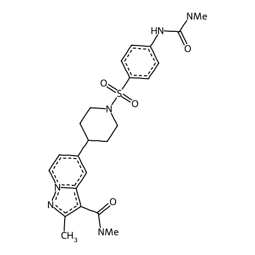 CNC(=O)Nc1ccc(S(=O)(=O)N2CCC(c3ccn4nc(C)c(C(=O)NC)c4c3)CC2)cc1